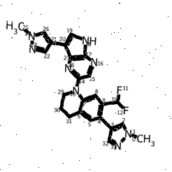 Cn1cc(-c2cc3c(cc2C(F)F)N(c2cnc4[nH]cc(-c5cnn(C)c5)c4n2)CCC3)cn1